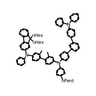 CCCCCCC1(CCCCCC)c2ccccc2-c2ccc(N(c3ccccc3)c3ccc(-c4ccc(N(c5ccc(CCCCC)cc5)c5ccc(-c6cccc(-c7ccc(N(c8ccccc8)c8ccccc8)cc7)c6)cc5)cc4C)c(C)c3)cc21